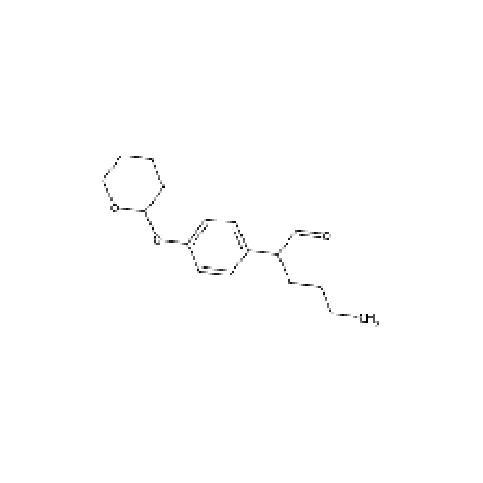 CCCCC(C=O)c1ccc(OC2CCCCO2)cc1